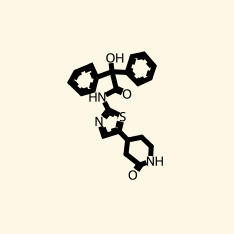 O=C1CC(c2cnc(NC(=O)C(O)(c3ccccc3)c3ccccc3)s2)CCN1